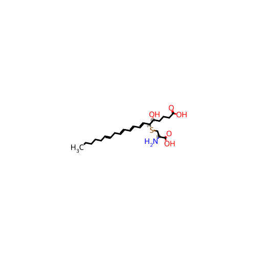 CCCCCC=CCC=CC=CC=C[C@@H](SC[C@H](N)C(=O)O)[C@H](O)CCCC(=O)O